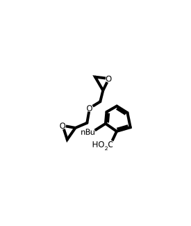 C(OCC1CO1)C1CO1.CCCCc1ccccc1C(=O)O